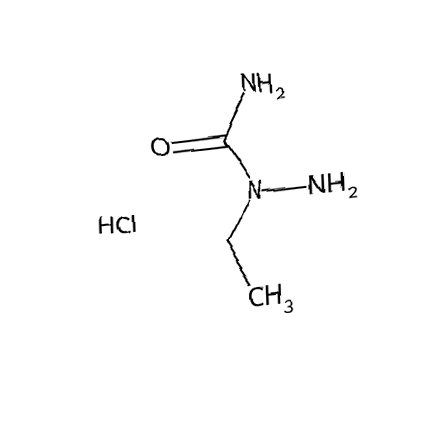 CCN(N)C(N)=O.Cl